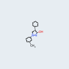 Cc1cccc(-n2cc(-c3ccccc3)c(O)n2)c1